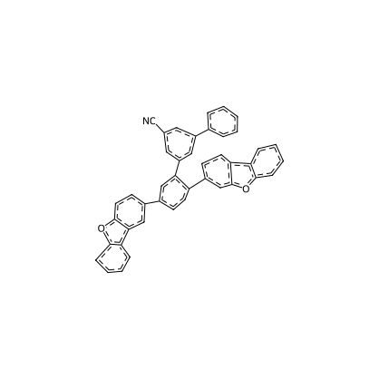 N#Cc1cc(-c2ccccc2)cc(-c2cc(-c3ccc4oc5ccccc5c4c3)ccc2-c2ccc3c(c2)oc2ccccc23)c1